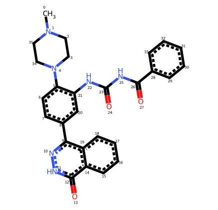 CN1CCN(c2ccc(-c3n[nH]c(=O)c4ccccc34)cc2NC(=O)NC(=O)c2ccccc2)CC1